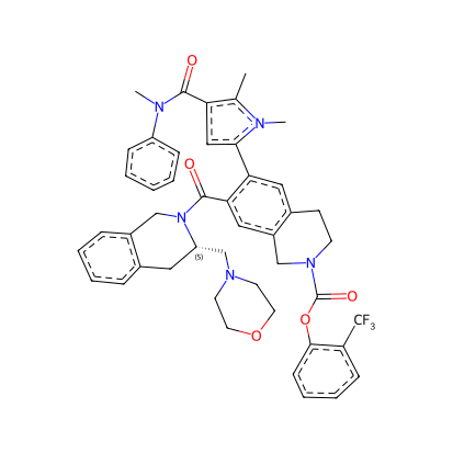 Cc1c(C(=O)N(C)c2ccccc2)cc(-c2cc3c(cc2C(=O)N2Cc4ccccc4C[C@H]2CN2CCOCC2)CN(C(=O)Oc2ccccc2C(F)(F)F)CC3)n1C